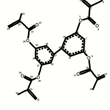 C=C(C)C(=O)Oc1cc(OC(=O)C(=C)C)cc(-c2cc(OC(=O)C(=C)C)cc(OC(=O)C(=C)C)c2)c1